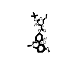 COc1ccc2c3c1O[C@H]1C[C@H](OC(=O)[C@H](CCSC)NC(=O)OC(C)(C)C)C=C[C@@]31CCN(C)C2